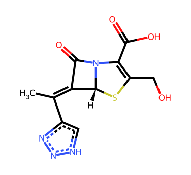 C/C(=C1\C(=O)N2C(C(=O)O)=C(CO)S[C@H]12)c1c[nH]nn1